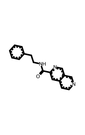 O=C(NCCc1ccccc1)c1cc2ccncc2cn1